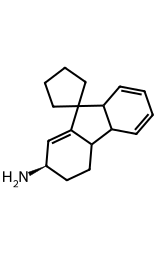 N[C@H]1C=C2C(CC1)C1C=CC=CC1C21CCCC1